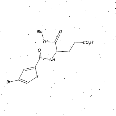 CCC(C)OC(=O)C(CCC(=O)O)NC(=O)c1cc(Br)cs1